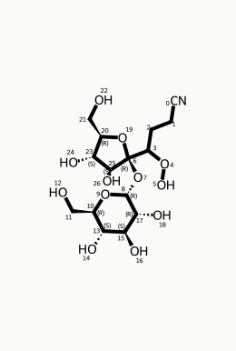 N#CCCC(OO)[C@@]1(O[C@H]2O[C@H](CO)[C@@H](O)[C@H](O)[C@H]2O)O[C@H](CO)[C@@H](O)[C@@H]1O